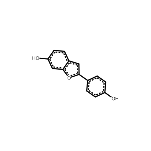 Oc1ccc(-c2cc3ccc(O)cc3o2)cc1